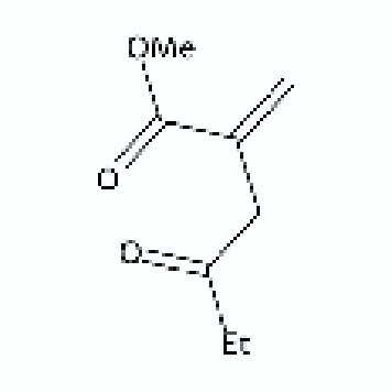 C=C(CC(=O)CC)C(=O)OC